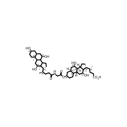 C[C@H](CCC(=O)NCC(=O)O[C@@H]1CC[C@@]2(C)[C@@H](C1)C[C@@H](O)[C@@H]1[C@@H]2C[C@H](O)[C@]2(C)[C@@H]([C@H](C)CCC(=O)O)CC[C@@H]12)[C@H]1CCC2C3C(C[C@H](O)[C@@]21C)[C@@]1(C)CC[C@@H](O)CC1C[C@H]3O